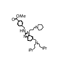 COC(=O)c1ccc(CNc2nc3ccc(CN(CCC(C)C)CCC(C)C)cc3n2CCCN2CCCCC2)cc1